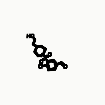 O=Cc1ccc(Cl)c(S(=O)(=O)N2CCC(CCO)CC2)c1